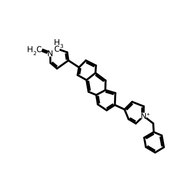 C=N/C=C\C(=C/C)c1ccc2cc3cc(-c4cc[n+](Cc5ccccc5)cc4)ccc3cc2c1